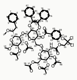 COC(Cc1ccccc1)[C@H]1O[C@H](OC)[C@H](OC(C)=O)[C@@H](OC(C)=O)[C@@H]1O[C@@H]1O[C@H](CO[C@@H]2O[C@H](COC(C)=O)[C@@H](OC(C)=O)[C@H](OC(C)=O)[C@@H]2NC(=O)OCC(Cl)(Cl)Cl)[C@H](OC(=O)c2ccccc2)[C@H](OC(=O)c2ccccc2)[C@H]1OC(=O)c1ccccc1